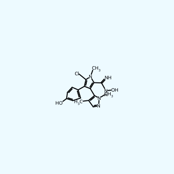 Cc1cnn(C)c1-c1c(-c2ccc(O)cc2)c(Cl)n(C)c1C(=N)NO